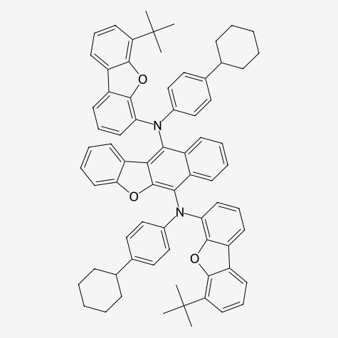 CC(C)(C)c1cccc2c1oc1c(N(c3ccc(C4CCCCC4)cc3)c3c4ccccc4c(N(c4ccc(C5CCCCC5)cc4)c4cccc5c4oc4c(C(C)(C)C)cccc45)c4c3oc3ccccc34)cccc12